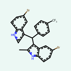 Cc1[nH]c2ccc(Br)cc2c1C(c1ccc(C(F)(F)F)cc1)c1c[nH]c2ccc(Br)cc12